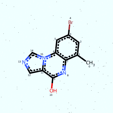 Cc1cc(Br)cc2c1nc(O)c1cncn12